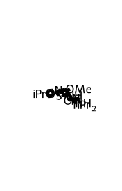 CCC/C=C(\N=C/N)C(=O)Nc1cc2sc([C@H]3CC[C@H](C(C)C)CC3)nc2cc1OC